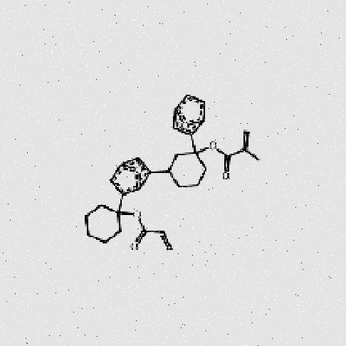 C=CC(=O)OC1(c2cc3cc(C4CCCC(OC(=O)C(=C)C)(c5cc6ccc5o6)C4)c2o3)CCCCC1